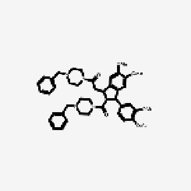 COc1ccc(C2c3cc(OC)c(OC)cc3C(CC(=O)N3CCN(Cc4ccccc4)CC3)C2C(=O)N2CCN(Cc3ccccc3)CC2)cc1OC